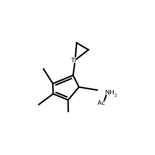 CC(N)=O.CC1=C(C)C(C)[C]([Ti]2[CH2][CH2]2)=C1C